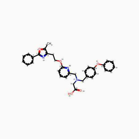 Cc1oc(-c2ccccc2)nc1CCOc1cccc(CN(CC(=O)O)Cc2ccc(Oc3ccccc3)cc2)n1